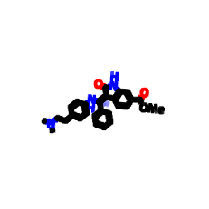 COC(=O)c1ccc2c(c1)NC(=O)/C2=C(\Nc1ccc(CCN(C)C)cc1)c1ccccc1